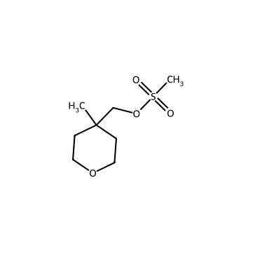 CC1(COS(C)(=O)=O)CCOCC1